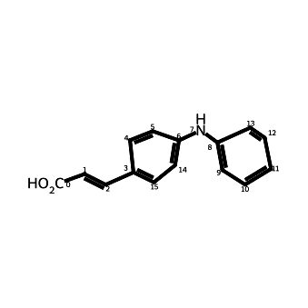 O=C(O)/C=C/c1ccc(Nc2ccccc2)cc1